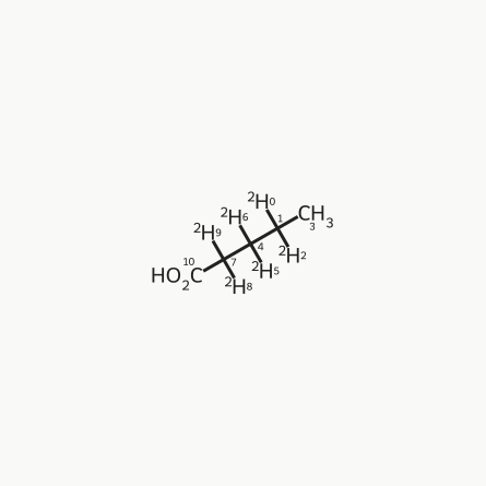 [2H]C([2H])(C)C([2H])([2H])C([2H])([2H])C(=O)O